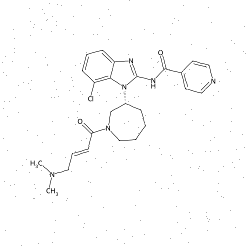 CN(C)C/C=C/C(=O)N1CCCC[C@@H](n2c(NC(=O)c3ccncc3)nc3cccc(Cl)c32)C1